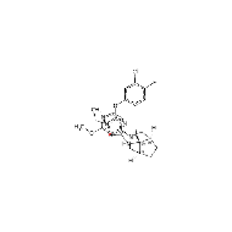 CCn1nc(N[C@@H]2[C@@H]3CC[C@H]2CN(c2ccnc(OC)c2)C3)nc1Oc1ccc(F)c(Cl)c1